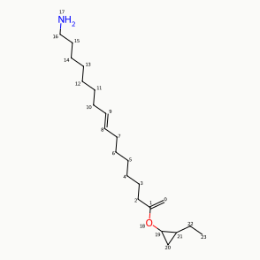 C=C(CCCCCC/C=C/CCCCCCCN)OC1CC1CC